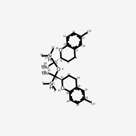 C[SiH](C)C(OC([C@H]1CCc2cc(I)ccc2O1)([SiH](C)C)C(C)(C)C)([C@H]1CCc2cc(I)ccc2O1)C(C)(C)C